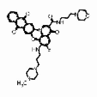 CN1CCN(CCCNc2c(F)cc3c(=O)c(C(=O)NCCCN4CCOCC4)cn4c5cc6c(=O)c7ccccc7c(=O)c6cc5oc2c34)CC1